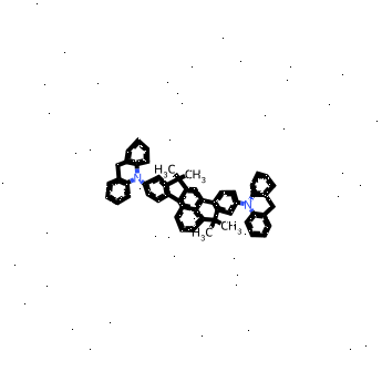 CC1(C)c2cc(N3c4ccccc4Cc4ccccc43)ccc2-c2c1cc1c3c(cccc23)C(C)(C)c2cc(N3c4ccccc4Cc4ccccc43)ccc2-1